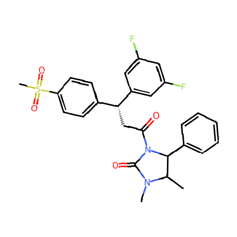 CC1C(c2ccccc2)N(C(=O)C[C@H](c2ccc(S(C)(=O)=O)cc2)c2cc(F)cc(F)c2)C(=O)N1C